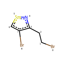 BrCCc1nscc1Br